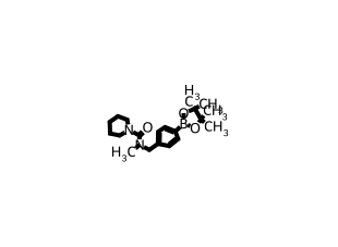 CN(Cc1ccc(B2OC(C)(C)C(C)(C)O2)cc1)C(=O)N1CCCCC1